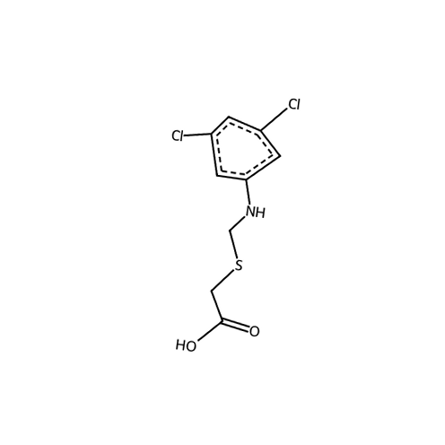 O=C(O)CSCNc1cc(Cl)cc(Cl)c1